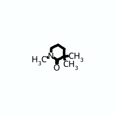 CN1CCCC(C)(C)C1=O